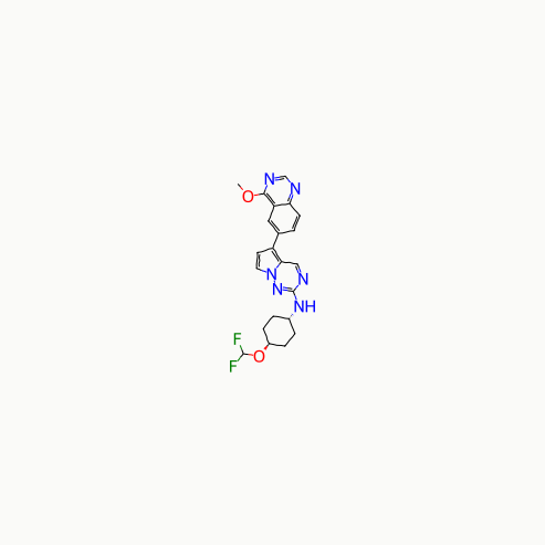 COc1ncnc2ccc(-c3ccn4nc(N[C@H]5CC[C@H](OC(F)F)CC5)ncc34)cc12